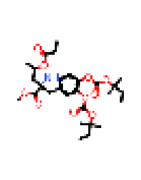 CCC(=O)OC(C)C[C@@](N)(Cc1ccc(OC(=O)OC(C)(C)CC)c(OC(=O)OC(C)(C)CC)c1)C(=O)OC